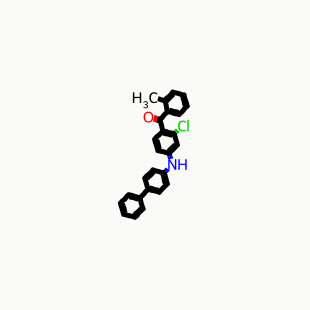 Cc1ccccc1C(=O)c1ccc(Nc2ccc(-c3ccccc3)cc2)cc1Cl